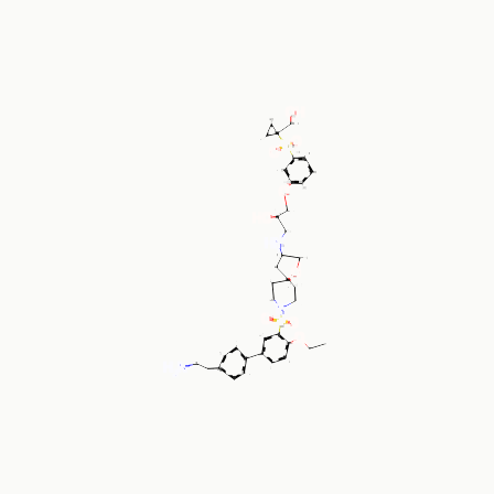 CCOc1ccc(-c2ccc(CCN)cc2)cc1S(=O)(=O)N1CCC2(CC1)CC(NCC(O)COc1cccc(S(=O)(=O)C3(CO)CC3)c1)CO2